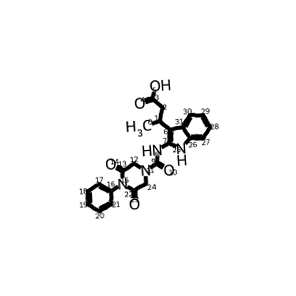 CC(CC(=O)O)c1c(NC(=O)N2CC(=O)N(c3ccccc3)C(=O)C2)[nH]c2ccccc12